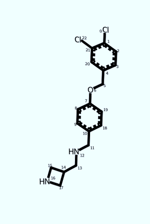 Clc1ccc(COc2ccc(CNCC3CNC3)cc2)cc1Cl